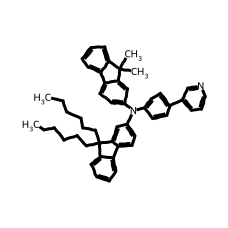 CCCCCCC1(CCCCCC)c2ccccc2-c2ccc(N(c3ccc(-c4cccnc4)cc3)c3ccc4c(c3)C(C)(C)c3ccccc3-4)cc21